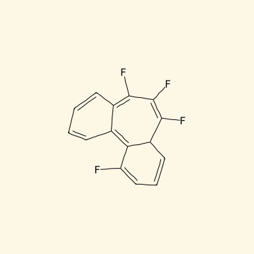 FC1=CC=CC2C(F)=C(F)C(F)=c3ccccc3=C12